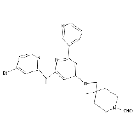 CCc1ccnc(Nc2cc(N3CC4(CCN(C=O)CC4)C3)nc(-c3cccnc3)n2)c1